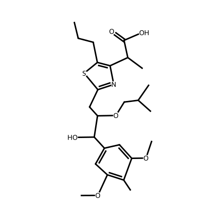 CCCc1sc(CC(OCC(C)C)C(O)c2cc(OC)c(C)c(OC)c2)nc1C(C)C(=O)O